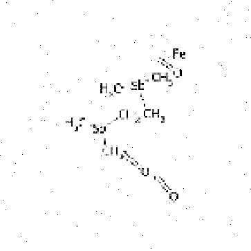 [CH3][Sb]([CH3])[CH3].[CH3][Sb]([CH3])[CH3].[C]=O.[C]=O.[C]=O.[Fe]